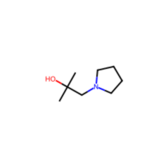 CC(C)(O)CN1CCCC1